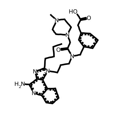 CCCCc1nc2c(N)nc3ccccc3c2n1CCCN(Cc1cccc(CC(=O)O)c1)C(=O)CN1CCN(C)CC1